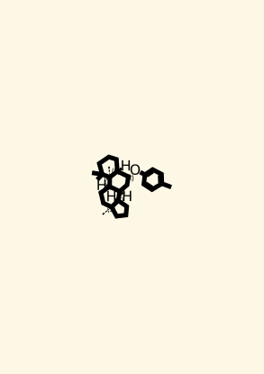 Cc1ccc(O[C@@H]2C[C@H]3[C@@H]4CCC[C@@]4(C)CC[C@@H]3[C@]3(C)[C@@H]2CCCC3(C)C)cc1